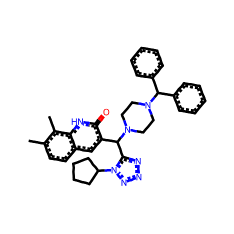 Cc1ccc2cc(C(c3nnnn3C3CCCC3)N3CCN(C(c4ccccc4)c4ccccc4)CC3)c(=O)[nH]c2c1C